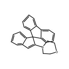 C1=C(N2CCOCC2)C2(c3ccccc31)c1ccccc1-c1ccccc12